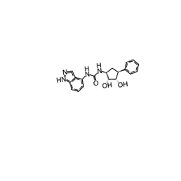 O=C(Nc1cccc2[nH]ncc12)N[C@H]1C[C@@H](c2ccccc2)[C@H](O)[C@@H]1O